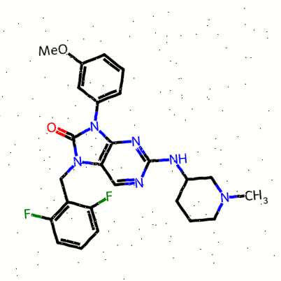 COc1cccc(-n2c(=O)n(Cc3c(F)cccc3F)c3cnc(NC4CCCN(C)C4)nc32)c1